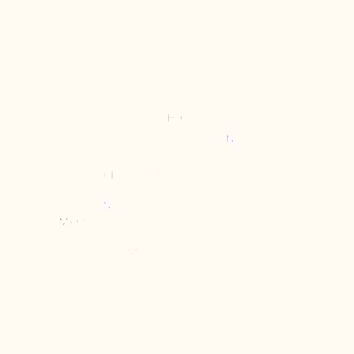 CON(C)C(=O)c1ccc(C(C)N2CCCCC2)o1